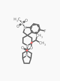 CC(C)COC(=O)N1C2CCC1CC(N1CCC3(CC1)CN(S(C)(=O)=O)c1ccc(F)cc13)C2